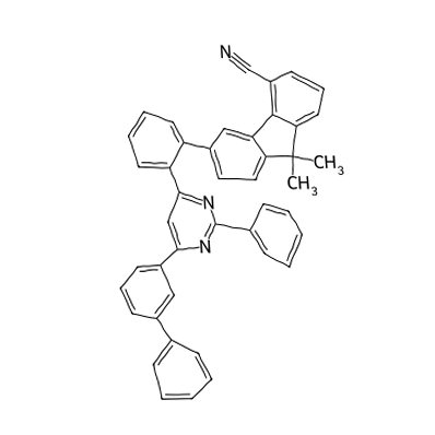 CC1(C)c2ccc(-c3ccccc3-c3cc(-c4cccc(-c5ccccc5)c4)nc(-c4ccccc4)n3)cc2-c2c(C#N)cccc21